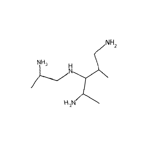 CC(N)CNC(C(C)N)C(C)CN